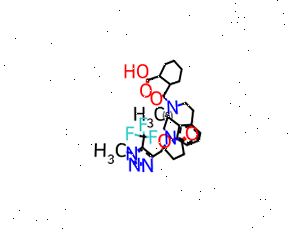 Cn1nnc(COc2cccc3c2[C@@](C)(CN2CCCC2=O)N(C(=O)C2CCCCC2C(=O)O)CC3)c1C(F)(F)F